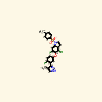 Cc1ccc(S(=O)(=O)n2ccc3c(Br)c(Oc4ccc(F)c(-c5n[nH]cc5C)c4)c(F)cc32)cc1